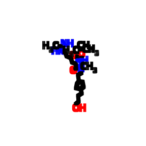 CC(=N)NCCCCC(NC(=O)OC(C)(C)C)C(=O)N(C)CCc1ccc(CCCCO)cc1